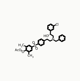 CC(=O)OOc1c(C)cc(S(=O)(=O)c2ccc(CCN(Cc3ccccc3)C[C@H](O)c3cccc(Cl)c3)cc2)cc1C